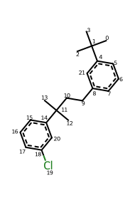 CC(C)(C)c1cccc(CCC(C)(C)c2cccc(Cl)c2)c1